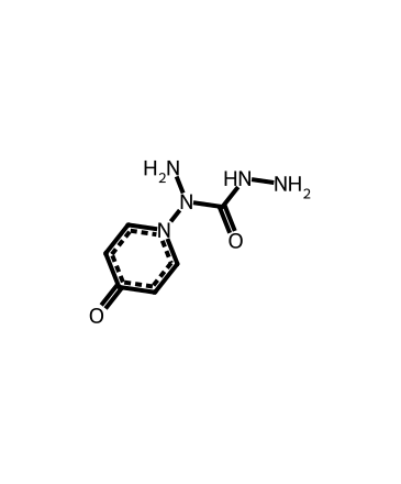 NNC(=O)N(N)n1ccc(=O)cc1